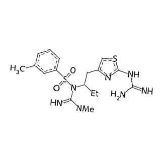 CCC(Cc1csc(NC(=N)N)n1)N(C(=N)NC)S(=O)(=O)c1cccc(C)c1